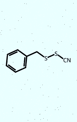 N#CSSCc1ccccc1